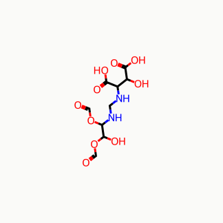 O=COC(O)C(NCNC(C(=O)O)C(O)C(=O)O)OC=O